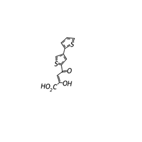 O=C(O)C(O)=CC(=O)c1cc(-c2cccs2)cs1